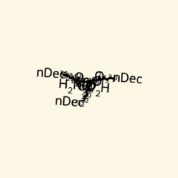 CCCCCCCCCCCCCCCC(=O)OCC(CSC[C@](N)(C(=O)O)C(=O)CCCCCCCCCCCCCCC)OC(=O)CCCCCCCCCCCCCCC